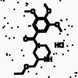 CCOCC1CN(C(=O)c2cc(OC)c(OC)c(OC)c2)CCN1.Cl